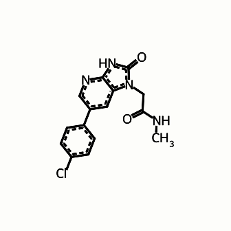 CNC(=O)Cn1c(=O)[nH]c2ncc(-c3ccc(Cl)cc3)cc21